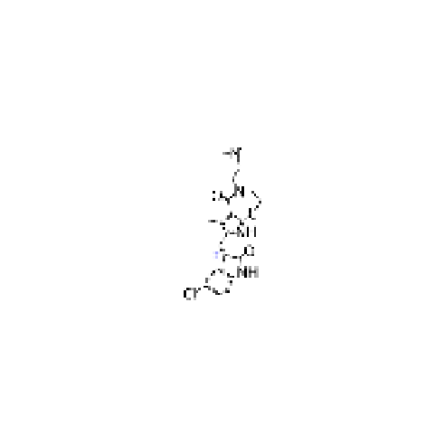 Cc1c(/C=C2\C(=O)Nc3ccc(Cl)cc32)[nH]c2c1C(=O)N(CCN(C)C)CCC2